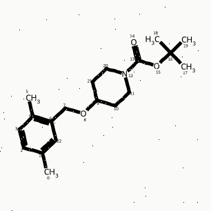 Cc1ccc(C)c(COC2CCN(C(=O)OC(C)(C)C)CC2)c1